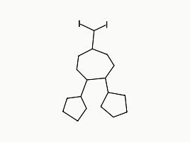 IC(I)C1CCC(C2CCCC2)C(C2CCCC2)CC1